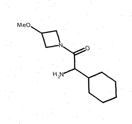 COC1CN(C(=O)C(N)C2CCCCC2)C1